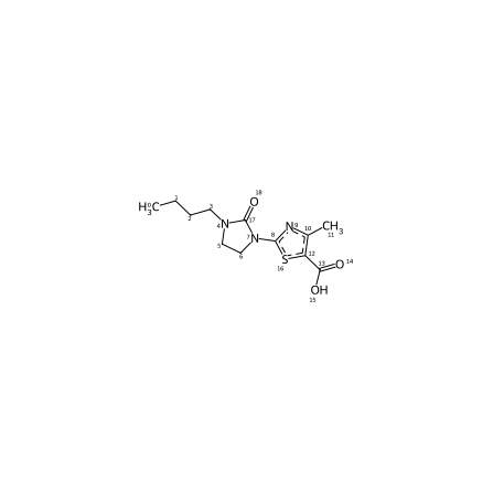 CCCCN1CCN(c2nc(C)c(C(=O)O)s2)C1=O